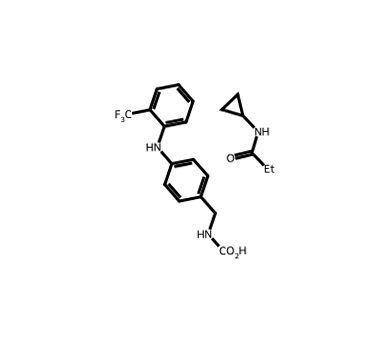 CCC(=O)NC1CC1.O=C(O)NCc1ccc(Nc2ccccc2C(F)(F)F)cc1